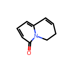 O=c1cccc2n1CCC=C2